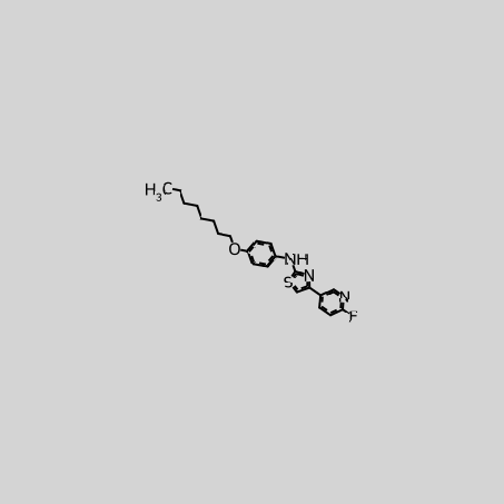 CCCCCCCCOc1ccc(Nc2nc(-c3ccc(F)nc3)cs2)cc1